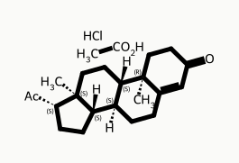 CC(=O)O.CC(=O)[C@H]1CC[C@H]2[C@@H]3CCC4=CC(=O)CC[C@]4(C)[C@H]3CC[C@]12C.Cl